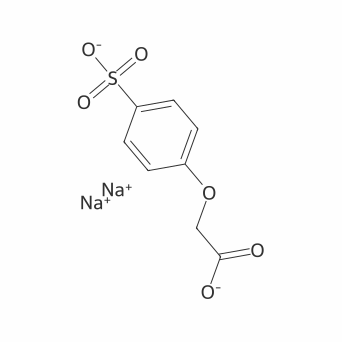 O=C([O-])COc1ccc(S(=O)(=O)[O-])cc1.[Na+].[Na+]